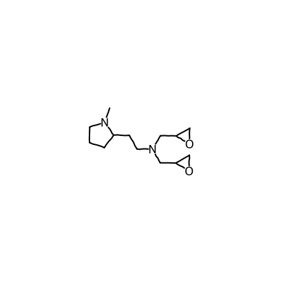 CN1CCCC1CCN(CC1CO1)CC1CO1